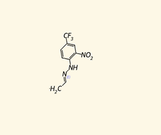 [CH2]/C=N/Nc1ccc(C(F)(F)F)cc1[N+](=O)[O-]